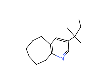 CCC(C)(C)c1cnc2c(c1)CCCCCC2